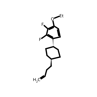 C=CCC[C@H]1CC[C@H](c2ccc(OCC)c(F)c2F)CC1